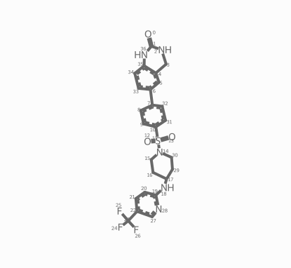 O=C1NCc2cc(-c3ccc(S(=O)(=O)N4CCC(Nc5ccc(C(F)(F)F)cn5)CC4)cc3)ccc2N1